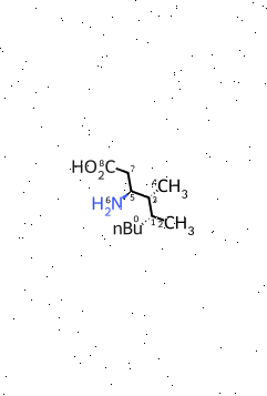 CCCC[C@@H](C)[C@@H](C)[C@@H](N)CC(=O)O